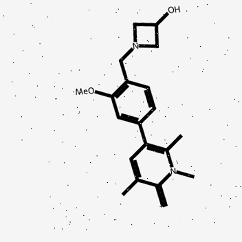 C=C1C(C)=CC(c2ccc(CN3CC(O)C3)c(OC)c2)=C(C)N1C